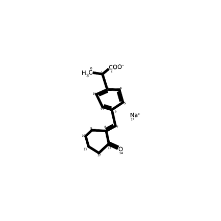 CC(C(=O)[O-])c1ccc(C=C2CCCCC2=O)cc1.[Na+]